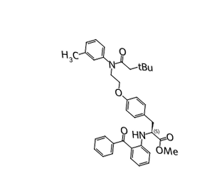 COC(=O)[C@H](Cc1ccc(OCCN(C(=O)CC(C)(C)C)c2cccc(C)c2)cc1)Nc1ccccc1C(=O)c1ccccc1